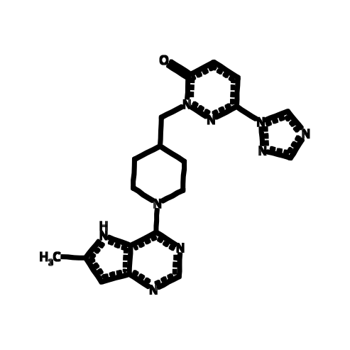 Cc1cc2ncnc(N3CCC(Cn4nc(-n5cncn5)ccc4=O)CC3)c2[nH]1